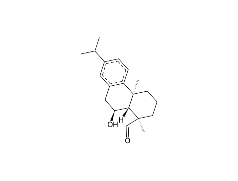 CC(C)c1ccc2c(c1)C[C@H](O)[C@H]1[C@](C)(C=O)CCC[C@]21C